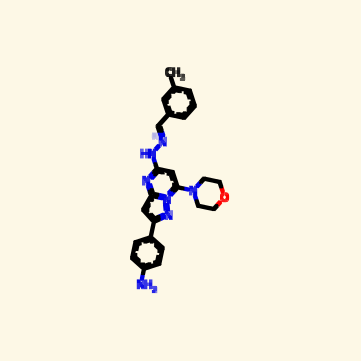 Cc1cccc(/C=N/Nc2cc(N3CCOCC3)n3nc(-c4ccc(N)cc4)cc3n2)c1